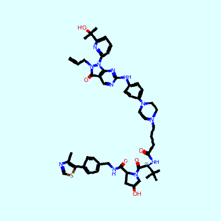 C=CCn1c(=O)c2cnc(Nc3ccc(N4CCN(CCCC(=O)N[C@H](C(=O)N5CC(O)CC5C(=O)NCc5ccc(-c6scnc6C)cc5)C(C)(C)C)CC4)cc3)nc2n1-c1cccc(C(C)(C)O)n1